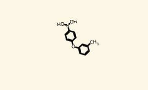 Cc1cccc(Oc2ccc(B(O)O)cc2)c1